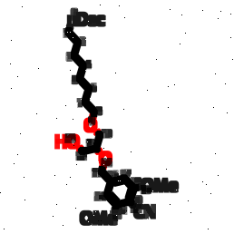 CCCCCCCCCCCCCCCCCCOCC(CO)OCc1cc(OC)c(C#N)c(OC)c1